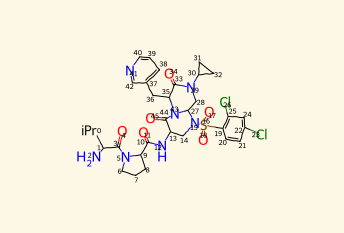 CC(C)C(N)C(=O)N1CCCC1C(=O)NC1CN(S(=O)(=O)c2ccc(Cl)cc2Cl)C2CN(C3CC3)C(=O)C(Cc3cccnc3)N2C1=O